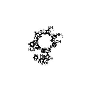 CC(C)C[C@@H]1NC(=O)[C@@H](Cc2ccccc2)NC(=O)[C@H](CCN)NC(=O)[C@@H](NC(=O)[C@@H](CO)NC(=O)[C@@H](NC(=O)[C@@H]2CCCO2)[C@@H](C)O)CCNC(=O)[C@H]([C@@H](C)O)NC(=O)[C@H](CCN)NC(=O)[C@H](CCN)NC1=O